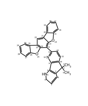 CC1(C)C2=C(NCC=C2)c2nc(-c3c4oc5ccccc5c4cc4c3oc3ccccc34)ccc21